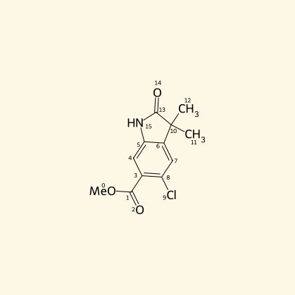 COC(=O)c1cc2c(cc1Cl)C(C)(C)C(=O)N2